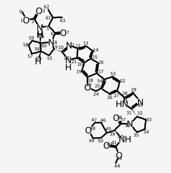 COC(=O)N[C@H](C(=O)N1[C@H](c2nc3ccc4cc5c(cc4c3[nH]2)OCc2cc(-c3cnc([C@@H]4CCCN4C(=O)[C@@H](NC(=O)OC)C4CCOCC4)[nH]3)ccc2-5)C[C@@H]2CCC[C@@H]21)C(C)C